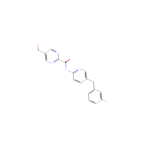 O=C(Nc1ccc(Cc2cccc(F)c2)cn1)c1ncc(CO)cn1